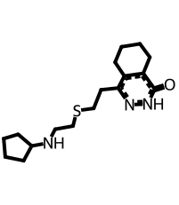 O=c1[nH]nc(CCSCCNC2CCCC2)c2c1CCCC2